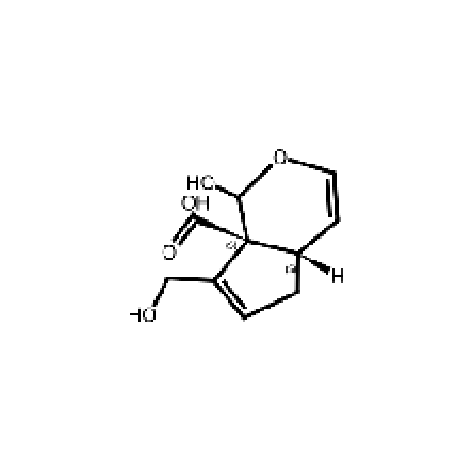 O=C(O)[C@]12C(CO)=CC[C@H]1C=COC2O